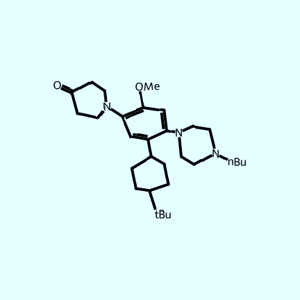 CCCCN1CCN(c2cc(OC)c(N3CCC(=O)CC3)cc2C2CCC(C(C)(C)C)CC2)CC1